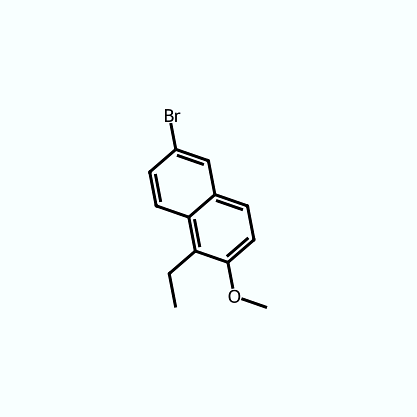 CCc1c(OC)ccc2cc(Br)ccc12